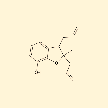 C=CCC1c2cccc(O)c2OC1(C)CC=C